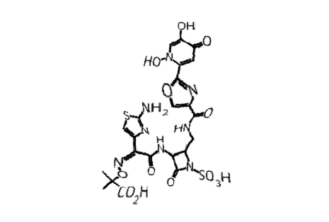 CC(C)(O/N=C(\C(=O)NC1C(=O)N(S(=O)(=O)O)C1CNC(=O)c1coc(-c2cc(=O)c(O)cn2O)n1)c1csc(N)n1)C(=O)O